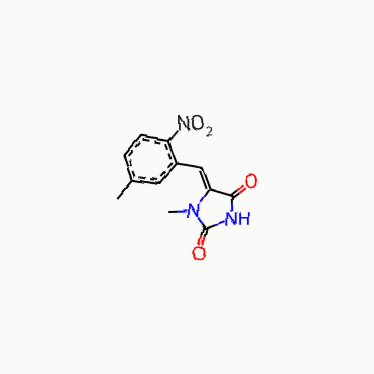 Cc1ccc([N+](=O)[O-])c(C=C2C(=O)NC(=O)N2C)c1